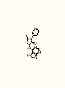 O=C1C[C@H](Nc2ncnc3nc[nH]c23)C(=O)N1c1ccccc1